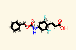 O=C(O)/C=C/c1c(F)cc(NC(=O)OCc2ccccc2)cc1F